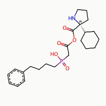 O=C(CP(=O)(O)CCCCc1ccccc1)OC(=O)[C@]1(C2CCCCC2)CCCN1